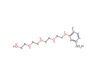 Cc1ccc(S(=O)(=O)O)cc1OCCOCCOCCOCCO